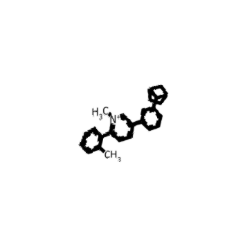 Cc1ccccc1-c1ccc(-c2cccc(C3C4CCC3C4)c2)c[n+]1C